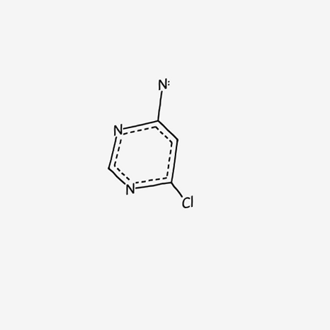 [N]c1cc(Cl)ncn1